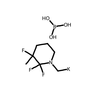 CC1(F)CCCN([CH2][K])C1(F)F.OB(O)O